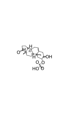 C[C@]12CC(OS(=O)(=O)O)[C@H](O)CC1=CC[C@@H]1[C@@H]2CC[C@]2(C)C(=O)CC[C@@H]12